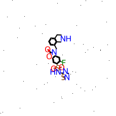 O=c1oc2cc(S(=O)(=O)Nc3ncns3)c(F)cc2n1Cc1cccc2c1CNCC2